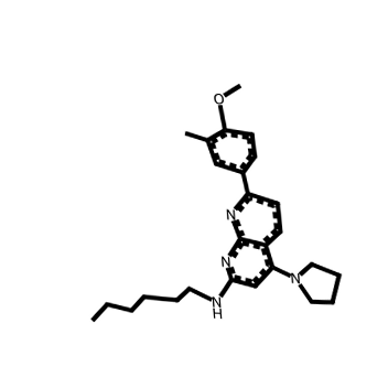 CCCCCCNc1cc(N2CCCC2)c2ccc(-c3ccc(OC)c(C)c3)nc2n1